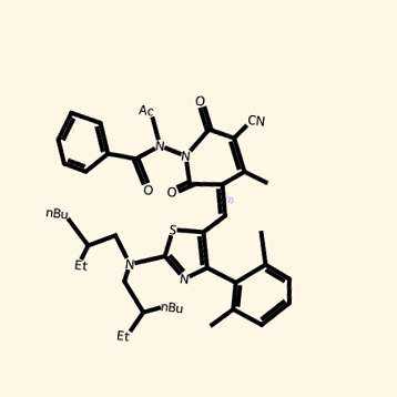 CCCCC(CC)CN(CC(CC)CCCC)c1nc(-c2c(C)cccc2C)c(/C=C2\C(=O)N(N(C(C)=O)C(=O)c3ccccc3)C(=O)C(C#N)=C2C)s1